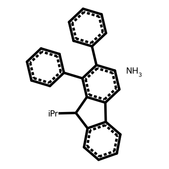 CC(C)C1c2ccccc2-c2ccc(-c3ccccc3)c(-c3ccccc3)c21.N